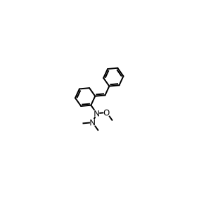 CON(C1=CC=CCC1=Cc1ccccc1)N(C)C